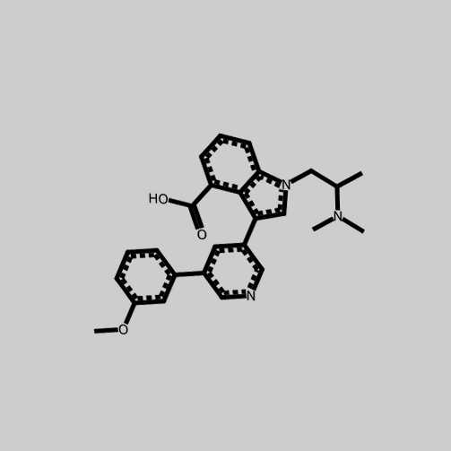 COc1cccc(-c2cncc(-c3cn(CC(C)N(C)C)c4cccc(C(=O)O)c34)c2)c1